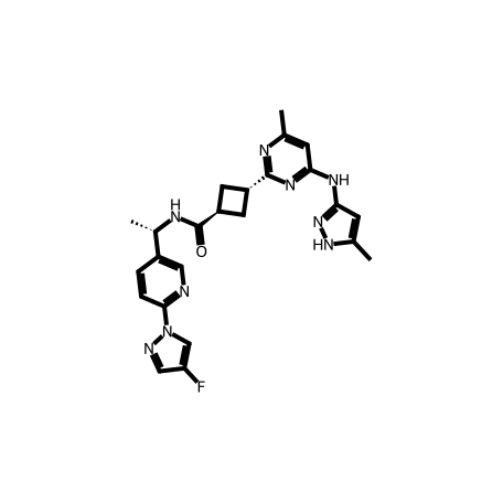 Cc1cc(Nc2cc(C)[nH]n2)nc([C@H]2C[C@H](C(=O)N[C@@H](C)c3ccc(-n4cc(F)cn4)nc3)C2)n1